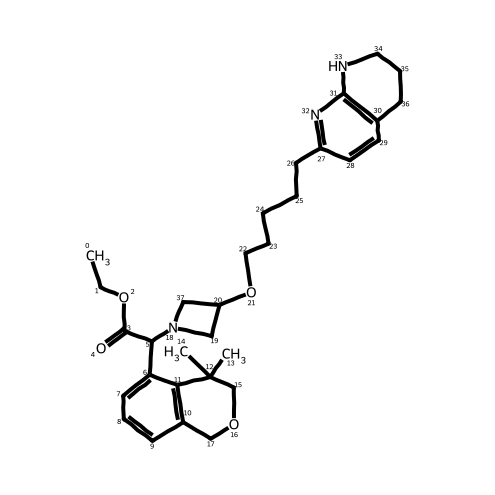 CCOC(=O)C(c1cccc2c1C(C)(C)COC2)N1CC(OCCCCCc2ccc3c(n2)NCCC3)C1